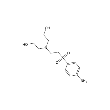 Nc1ccc(S(=O)(=O)CCN(CCO)CCO)cc1